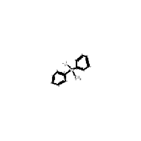 [CH3][Ti]([CH3])([c]1ccccc1)[c]1ccccc1